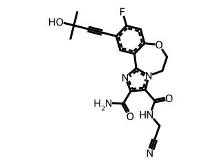 CC(C)(O)C#Cc1cc2c(cc1F)OCCn1c-2nc(C(N)=O)c1C(=O)NCC#N